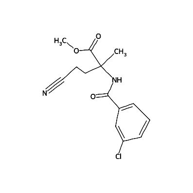 COC(=O)C(C)(CCC#N)NC(=O)c1cccc(Cl)c1